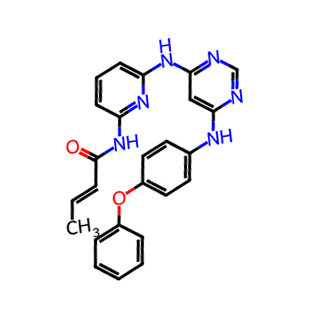 CC=CC(=O)Nc1cccc(Nc2cc(Nc3ccc(Oc4ccccc4)cc3)ncn2)n1